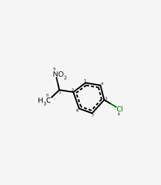 CC(c1ccc(Cl)cc1)[N+](=O)[O-]